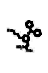 CCC(C)CCCCc1cccc(C=C(OC)C(=O)O)c1.O=C(c1ccccc1)c1ccccc1